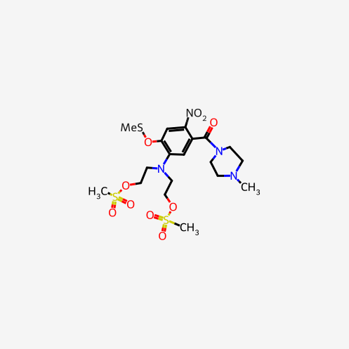 CSOc1cc([N+](=O)[O-])c(C(=O)N2CCN(C)CC2)cc1N(CCOS(C)(=O)=O)CCOS(C)(=O)=O